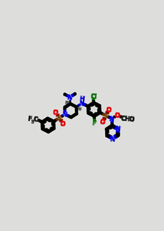 CN(C)[C@H]1CN(S(=O)(=O)c2cccc(C(F)(F)F)c2)CC[C@@H]1Nc1cc(F)c(S(=O)(=O)N(OC=O)c2ccncn2)cc1Cl